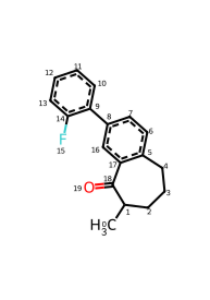 CC1CCCc2ccc(-c3ccccc3F)cc2C1=O